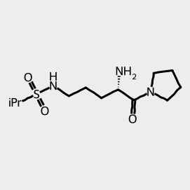 CC(C)S(=O)(=O)NCCC[C@H](N)C(=O)N1CCCC1